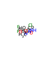 CC1=C(C(=O)O)C(c2cccc(Cl)c2)NC(=O)N1CCCN(C)C(=O)c1ccc(Oc2ccc(F)cc2F)cc1